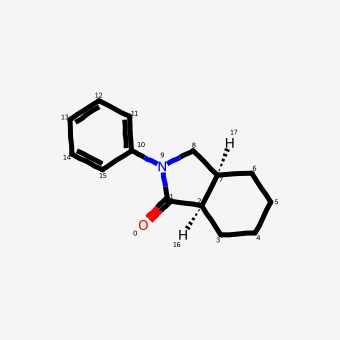 O=C1[C@@H]2CCCC[C@@H]2CN1c1ccccc1